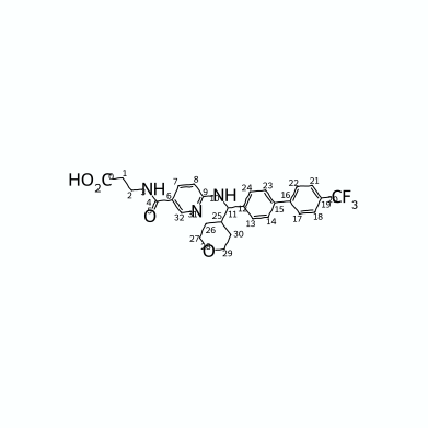 O=C(O)CCNC(=O)c1ccc(NC(c2ccc(-c3ccc(C(F)(F)F)cc3)cc2)C2CCOCC2)nc1